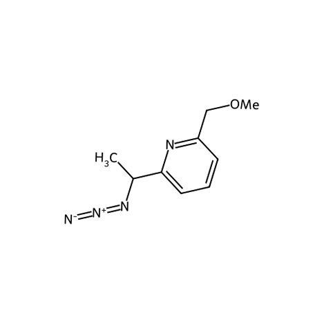 COCc1cccc(C(C)N=[N+]=[N-])n1